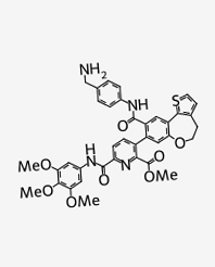 COC(=O)c1nc(C(=O)Nc2cc(OC)c(OC)c(OC)c2)ccc1-c1cc2c(cc1C(=O)Nc1ccc(CN)cc1)-c1sccc1CCO2